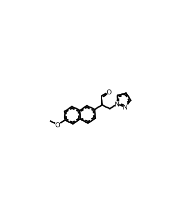 COc1ccc2cc(C(C=O)Cn3cccn3)ccc2c1